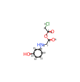 O=C(CCl)OC(=O)CNc1cccc(O)c1